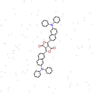 O=C1OC(c2ccc3ccc(N(c4ccccc4)c4ccccc4)cc3c2)=C2C(=O)OC(c3ccc4ccc(N(c5ccccc5)c5ccccc5)cc4c3)=C12